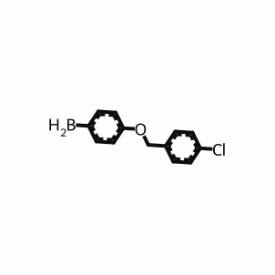 Bc1ccc(OCc2ccc(Cl)cc2)cc1